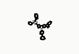 CC1(C)c2ccccc2-c2cc3c4cc(-c5nc(-c6ccccc6)nc(-c6ccccc6)n5)ccc4n(-c4ccc(-c5ccccc5)cc4)c3cc21